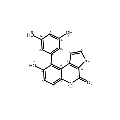 O=c1[nH]c2ccc(O)c(-c3cc(O)cc(O)c3)c2c2ccsc12